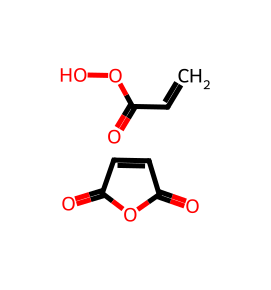 C=CC(=O)OO.O=C1C=CC(=O)O1